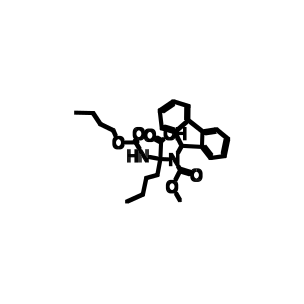 CCCCOC(=O)NC(CCCC)(C(=O)O)N(C(=O)OC)C1c2ccccc2-c2ccccc21